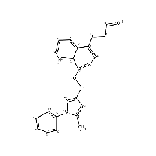 Cc1cc(COc2ccc(C=CC=O)c3cccnc23)nn1-c1ccccc1